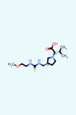 COCCNC(=S)NC[C@@H]1CCN([C@H](C(=O)O)C(C)C)C1